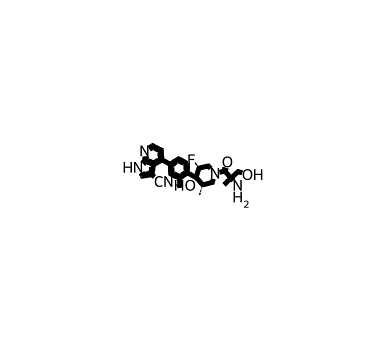 Cc1cc(-c2ccnc3[nH]cc(C#N)c23)cc(F)c1C1(O)[C@H](C)CN(C(=O)C(C)(N)CO)C[C@@H]1C